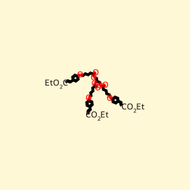 CCOC(=O)C=Cc1ccc(OCCCCC(=O)OCC(COC(=O)CCCCOc2ccc(C=CC(=O)OCC)cc2)OC(=O)CCCCOc2ccc(C=CC(=O)OCC)cc2)cc1